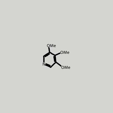 COc1cncc(OC)c1OC